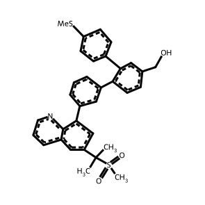 CSc1ccc(-c2cc(CO)ccc2-c2cccc(-c3cc(C(C)(C)S(C)(=O)=O)cc4cccnc34)c2)cc1